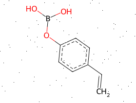 C=Cc1ccc(OB(O)O)cc1